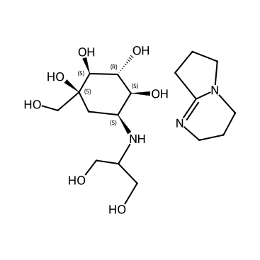 C1CN=C2CCCN2C1.OCC(CO)N[C@H]1C[C@](O)(CO)[C@@H](O)[C@H](O)[C@H]1O